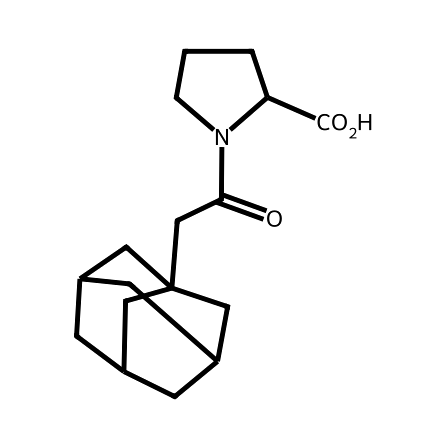 O=C(O)C1CCCN1C(=O)CC12CC3CC(CC(C3)C1)C2